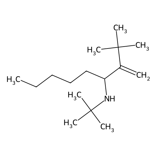 C=C(C(CCCCC)NC(C)(C)C)C(C)(C)C